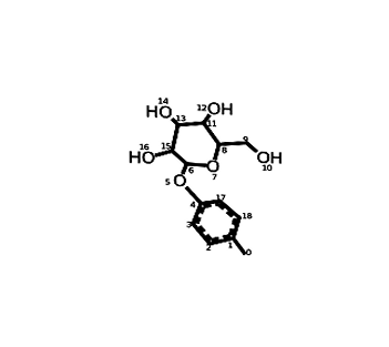 Cc1ccc(OC2OC(CO)C(O)C(O)C2O)cc1